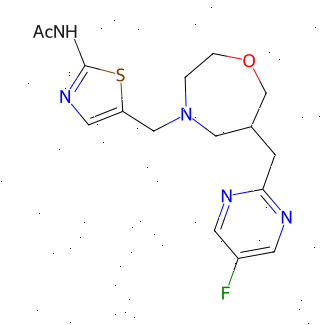 CC(=O)Nc1ncc(CN2CCOCC(Cc3ncc(F)cn3)C2)s1